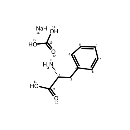 N[C@H](Cc1ccccc1)C(=O)O.O=C(O)O.[NaH]